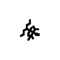 CCCC(CCC)C(C)(CCC)[Si]([Na])(C(C)C)C(C)C